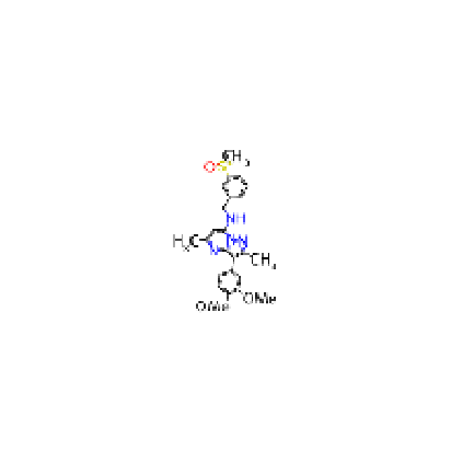 COc1ccc(-c2c(C)nn3c(NCc4cccc([S+](C)[O-])c4)cc(C)nc23)cc1OC